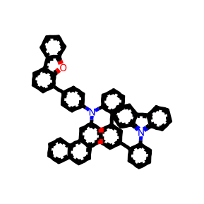 c1cc(-c2ccccc2N(c2ccc(-c3cccc4c3oc3ccccc34)cc2)c2ccc3ccc4ccccc4c3c2)cc(-c2ccccc2-n2c3ccccc3c3ccccc32)c1